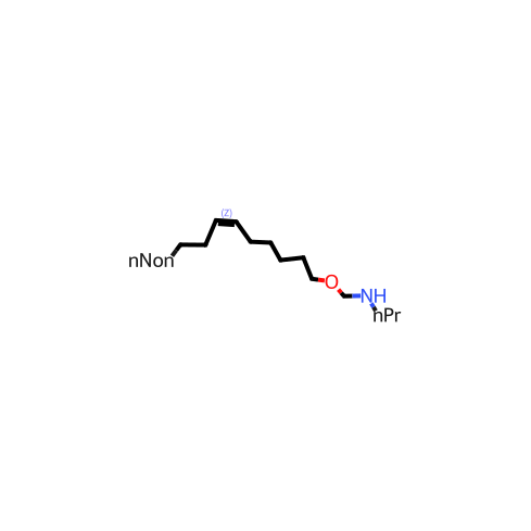 CCCCCCCCCCC/C=C\CCCCCOCNCCC